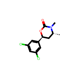 C[C@@H]1C[C@@H](c2cc(Cl)cc(Cl)c2)OC(=O)N1C